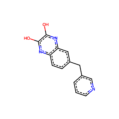 Oc1nc2ccc(Cc3cccnc3)cc2nc1O